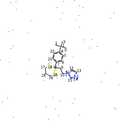 CC(C)(C)c1ccc(C2(CCn3ccnc3)SCCCS2)cc1